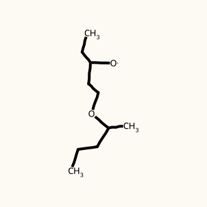 CCCC(C)OCCC([O])CC